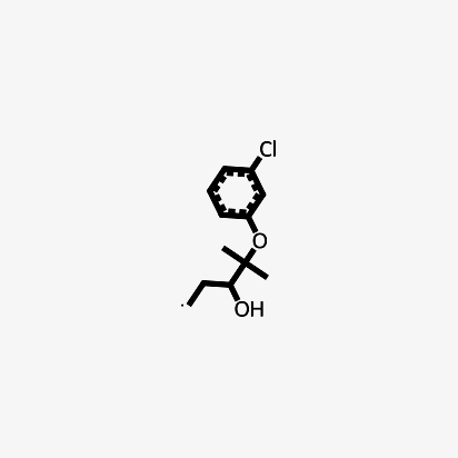 [CH2]CC(O)C(C)(C)Oc1cccc(Cl)c1